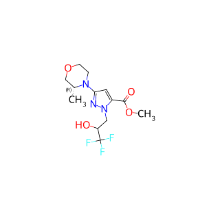 COC(=O)c1cc(N2CCOC[C@H]2C)nn1CC(O)C(F)(F)F